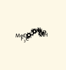 COc1ccc(Cc2cc(-n3ncc4c3CCNC4=O)ccn2)cc1C(F)(F)F